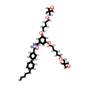 CCCCCc1ccc(-c2ccc(-c3nnc(-c4cc(OCCCCCCOCC5(C)COC5)cc(OCCCCCOCC5(C)COC5)c4)o3)cc2)cc1